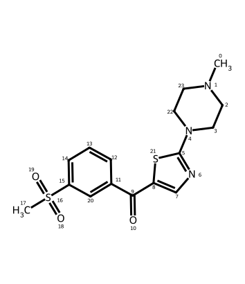 CN1CCN(c2ncc(C(=O)c3cccc(S(C)(=O)=O)c3)s2)CC1